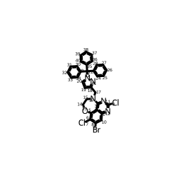 Clc1nc2c3c(c(Cl)c(Br)cc3n1)OCCN2Cc1ccn(C(c2ccccc2)(c2ccccc2)c2ccccc2)n1